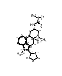 CCN(CC)C(=O)N[C@H]1CC2c3cccc4c3c(c(C3SCCS3)n4C)C[C@H]2N(C)C1